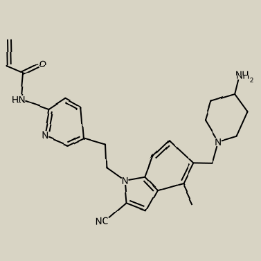 C=CC(=O)Nc1ccc(CCn2c(C#N)cc3c(C)c(CN4CCC(N)CC4)ccc32)cn1